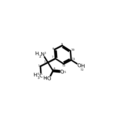 CCC(N)(C(=O)O)c1cccc(O)c1